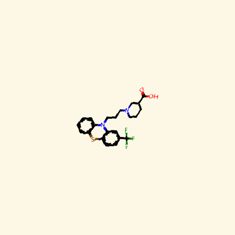 O=C(O)C1CCCN(CCCN2c3ccccc3Sc3ccc(C(F)(F)F)cc32)C1